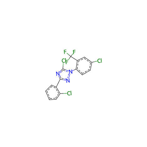 FC(F)(F)c1cc(Cl)ccc1-n1nc(-c2ccccc2Cl)nc1Cl